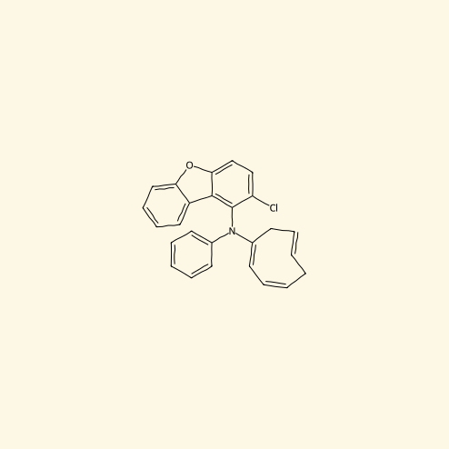 Clc1ccc2oc3ccccc3c2c1N(/C1=C/C=C\C/C=C/C1)c1ccccc1